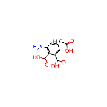 CC(=O)O.Nc1cccc(C(=O)O)c1C(=O)O